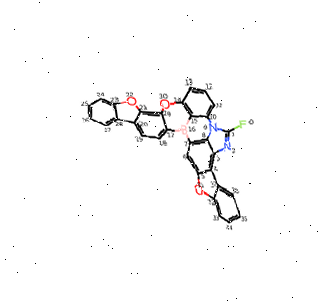 Fc1nc2c3c(cc4c2n1-c1cccc2c1B4c1ccc4c(oc5ccccc54)c1O2)oc1ccccc13